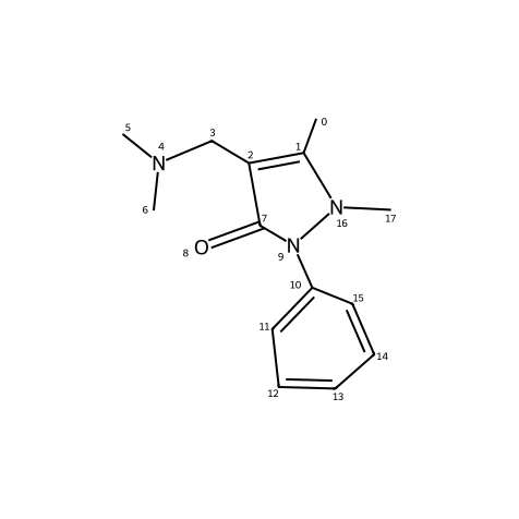 Cc1c(CN(C)C)c(=O)n(-c2ccccc2)n1C